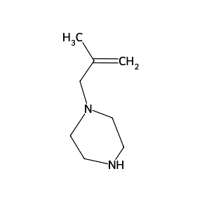 C=C(C)CN1CCNCC1